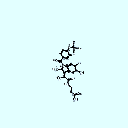 Cc1c(C(C)C(=O)NCCC(=O)O)c2cc(O)c(F)cc2n1C(=O)c1ccc(OC(F)(F)F)cc1